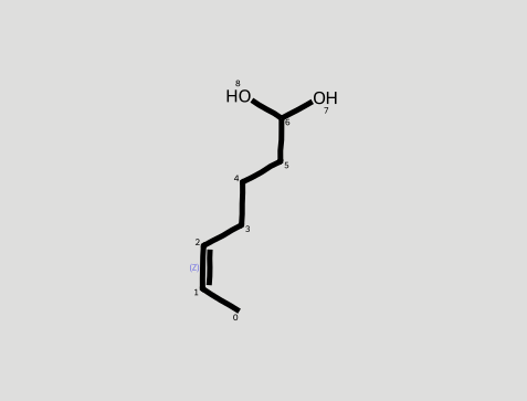 C/C=C\CCCC(O)O